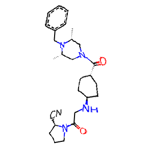 C[C@@H]1CN(C(=O)[C@H]2CC[C@H](NCC(=O)N3CCC[C@H]3C#N)CC2)C[C@H](C)N1Cc1ccccc1